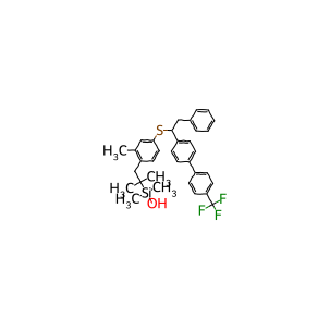 Cc1cc(SC(Cc2ccccc2)c2ccc(-c3ccc(C(F)(F)F)cc3)cc2)ccc1CC(C)(C)[Si](C)(C)O